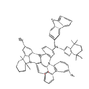 Cc1cc2c3c(c1)N1c4c(cc(C(C)(C)C)cc4C4(C)CCCCC14C)B3c1ccc(N(c3ccc4c(c3)C(C)(C)CCC4(C)C)c3ccc4sc5ccccc5c4c3)cc1N2c1ccc(C(C)(C)C)cc1-c1ccccc1